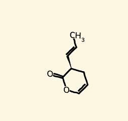 CC=C[C@H]1CC=COC1=O